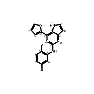 Cc1ccc(C)c(Nc2nc(-c3ccco3)c3[nH]ccc3n2)c1